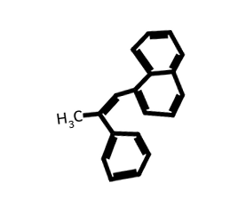 C/C(=C/c1cccc2ccccc12)c1ccccc1